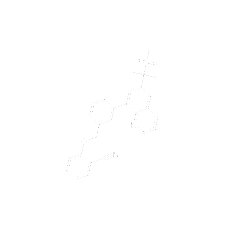 CC(C)(c1cc(-c2cccc(COc3ccccc3C#N)c2)c2ncccc2c1)S(C)(=O)=O